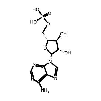 Nc1ncnc2c1ncn2[C@@H]1O[C@H](COP(=O)(O)O)[C@@H](O)[C@@H]1O